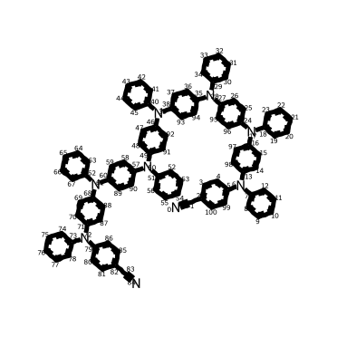 N#Cc1ccc(N(c2ccccc2)c2ccc(N(c3ccccc3)c3ccc(N(c4ccccc4)c4ccc(N(c5ccccc5)c5ccc(N(c6ccccc6)c6ccc(N(c7ccccc7)c7ccc(N(c8ccccc8)c8ccc(C#N)cc8)cc7)cc6)cc5)cc4)cc3)cc2)cc1